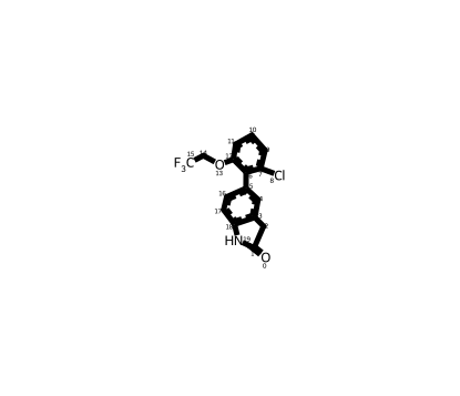 O=C1Cc2cc(-c3c(Cl)cccc3OCC(F)(F)F)ccc2N1